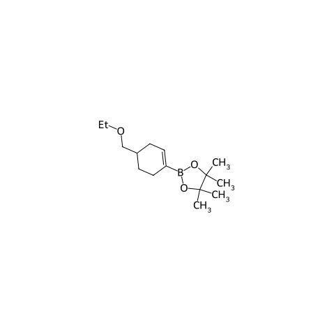 CCOCC1CC=C(B2OC(C)(C)C(C)(C)O2)CC1